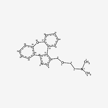 CN(C)CCOCc1onc2c1-c1ccccc1Oc1ccccc1-2